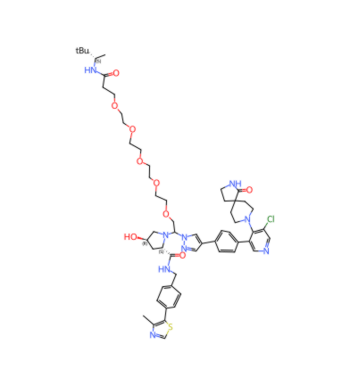 Cc1ncsc1-c1ccc(CNC(=O)[C@@H]2C[C@@H](O)CN2C(COCCOCCOCCOCCOCCC(=O)N[C@@H](C)C(C)(C)C)n2cc(-c3ccc(-c4cncc(Cl)c4N4CCC5(CCNC5=O)CC4)cc3)cn2)cc1